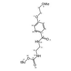 COCCOc1ccc(C(=O)NCCNC(=O)OC(C)(C)C)nc1